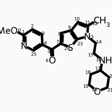 COc1ccc(C(=O)c2cc3cc(C)n(CCNC4CCOCC4)c3s2)cn1